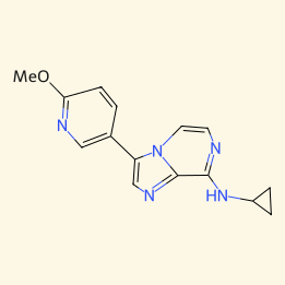 COc1ccc(-c2cnc3c(NC4CC4)nccn23)cn1